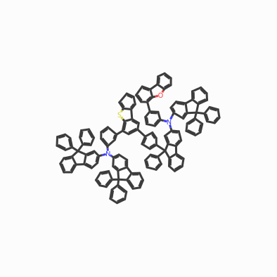 c1ccc(C2(c3ccccc3)c3ccccc3-c3ccc(N(c4cccc(-c5cccc6c5oc5ccccc56)c4)c4ccc5c(c4)C(c4ccccc4)(c4ccc(-c6cc(-c7cccc(N(c8ccc9c(c8)C(c8ccccc8)(c8ccccc8)c8ccccc8-9)c8ccc9c(c8)C(c8ccccc8)(c8ccccc8)c8ccccc8-9)c7)c7sc8ccccc8c7c6)cc4)c4ccccc4-5)cc32)cc1